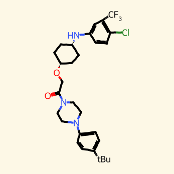 CC(C)(C)c1ccc(N2CCN(C(=O)CO[C@H]3CC[C@@H](Nc4ccc(Cl)c(C(F)(F)F)c4)CC3)CC2)cc1